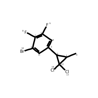 CC1C(c2cc(F)c(F)c(Br)c2)C1(Cl)Cl